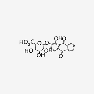 O=C1c2ccccc2C(=O)c2c1ccc(O[C@@H]1O[C@H](C(=O)O)[C@@H](O)[C@H](O)[C@H]1O)c2O